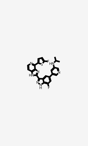 CC(C)Nc1cncc(-c2cc(F)c3[nH]nc(-c4nc5c(-c6ccc(F)s6)nccc5[nH]4)c3c2)c1